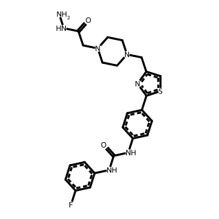 NNC(=O)CN1CCN(Cc2csc(-c3ccc(NC(=O)Nc4cccc(F)c4)cc3)n2)CC1